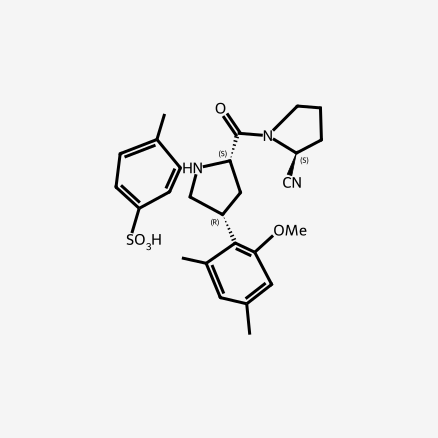 COc1cc(C)cc(C)c1[C@@H]1CN[C@H](C(=O)N2CCC[C@H]2C#N)C1.Cc1ccc(S(=O)(=O)O)cc1